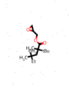 CCC(C)(C)CC(C)(C(=O)OCC1CO1)C(C)(C)C